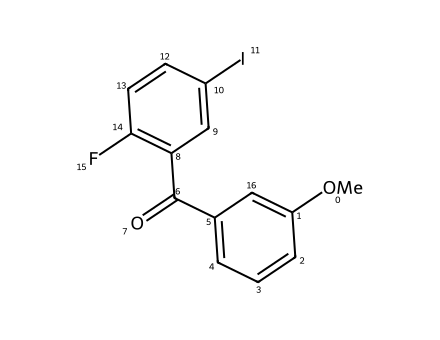 COc1cccc(C(=O)c2cc(I)ccc2F)c1